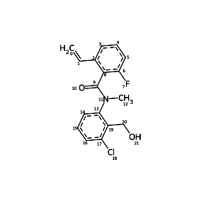 C=Cc1cccc(F)c1C(=O)N(C)c1cccc(Cl)c1CO